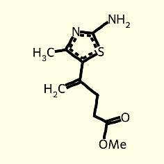 C=C(CCC(=O)OC)c1sc(N)nc1C